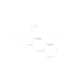 COc1cc2ncnc(F)c2cc1OC